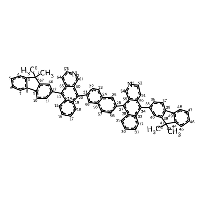 CC1(C)c2ccccc2-c2ccc(-c3c4ccccc4c(-c4ccc5cc(-c6c7ccccc7c(-c7ccc8c(c7)C(C)(C)c7ccccc7-8)c7ccncc67)ccc5c4)c4cnccc34)cc21